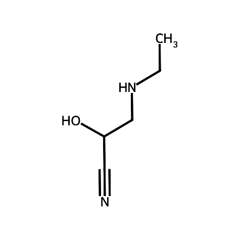 CCNCC(O)C#N